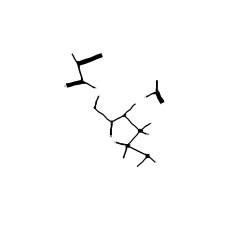 C=C(C)C(=O)OCC1OC(O)(C(F)(F)F)C(F)(F)C1OC(C)=O